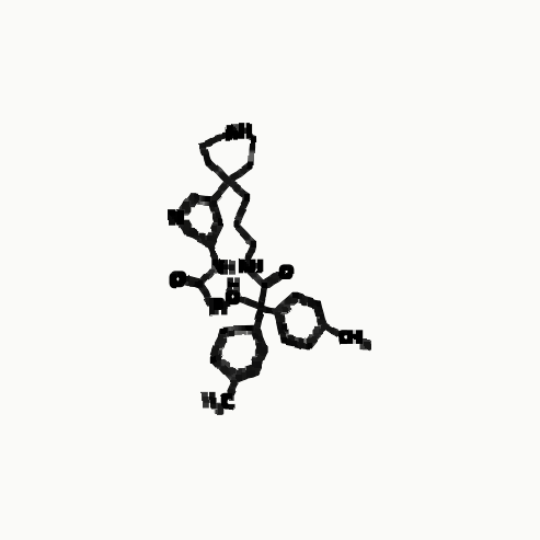 Cc1ccc(C(O)(C(=O)NCCCC2(c3cncc(NC(=O)C(C)C)c3)CCNCC2)c2ccc(C)cc2)cc1